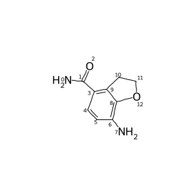 NC(=O)c1ccc(N)c2c1CCO2